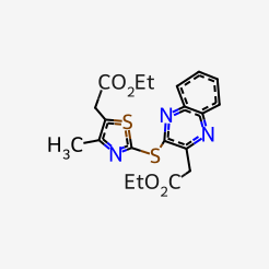 CCOC(=O)Cc1nc2ccccc2nc1Sc1nc(C)c(CC(=O)OCC)s1